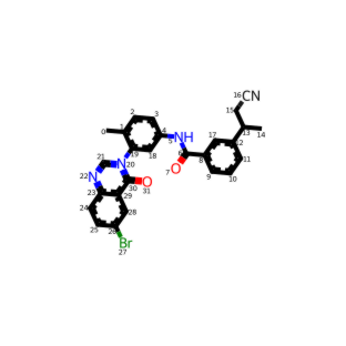 Cc1ccc(NC(=O)c2cccc(C(C)CC#N)c2)cc1-n1cnc2ccc(Br)cc2c1=O